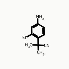 CCc1cc(N)ccc1C(C)(C)C#N